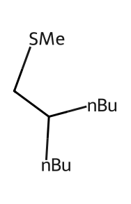 CCCCC(CCCC)CSC